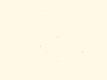 Cc1ccc(C(F)(F)F)cc1N1C(=O)C(N(C)C(=O)C(N)CS)N=C(c2ccccc2)c2cc(Cl)ccc21